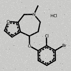 CN1CCC(Oc2cccc(Br)c2Cl)c2ccoc2C1.Cl